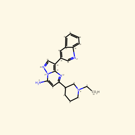 Nc1cc(C2CCCN(CC(=O)O)C2)nc2c(-c3cnc4ccccc4c3)cnn12